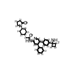 NC1(c2ccc(-c3cnc(NC(=O)C[C@H]4CC[C@H](N5CCCC5=O)CC4)cc3-c3ccccc3)cc2)CCC1